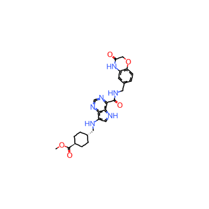 COC(=O)[C@H]1CC[C@H](CNc2c[nH]c3c(C(=O)NCc4ccc5c(c4)NC(=O)CO5)ncnc23)CC1